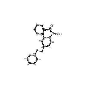 CCCCn1c(=O)c2ccccc2c2cc(CCc3ccccc3)ccc21